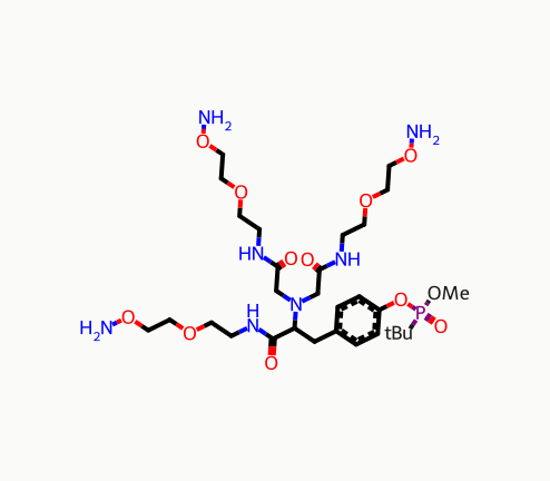 COP(=O)(Oc1ccc(CC(C(=O)NCCOCCON)N(CC(=O)NCCOCCON)CC(=O)NCCOCCON)cc1)C(C)(C)C